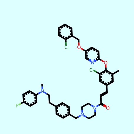 Cc1cc(C=CC(=O)N2CCN(Cc3ccc(CCN(C)c4ccc(F)cc4)cc3)CC2)cc(Cl)c1Oc1ccc(OCc2ccccc2Cl)cn1